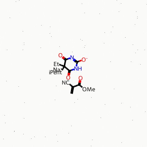 C=C(C#N)C(=O)OC.CCCC(C)C1(CC)C(=O)N=C([O-])NC1=O.[Na+]